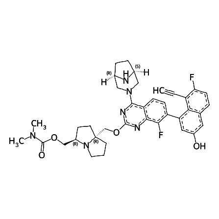 C#Cc1c(F)ccc2cc(O)cc(-c3ccc4c(N5C[C@H]6CC[C@@H](C5)N6)nc(OC[C@]56CCCN5[C@@H](COC(=O)N(C)C)CC6)nc4c3F)c12